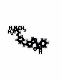 CC(C)(N)CCN1CCN(Cc2ccc3c(c2)CO/C3=C2/C(=O)Nc3ccccc32)CC1